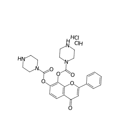 Cl.Cl.O=C(Oc1ccc2c(=O)cc(-c3ccccc3)oc2c1OC(=O)N1CCNCC1)N1CCNCC1